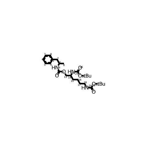 CC(Cc1ccccc1)NC(=O)OCC(CCCCNC(=O)OC(C)(C)C)NC(=O)OC(C)(C)C